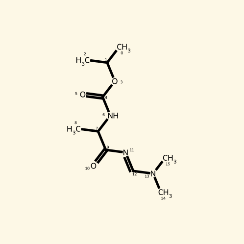 CC(C)OC(=O)NC(C)C(=O)/N=C/N(C)C